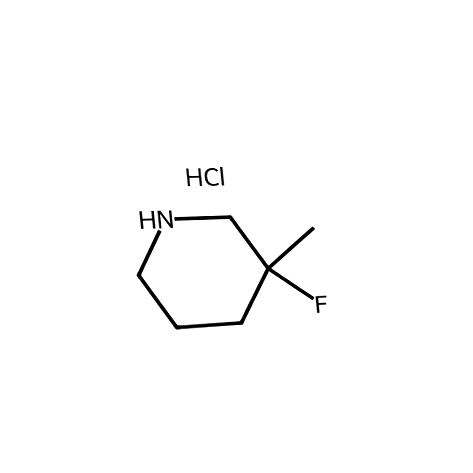 CC1(F)CCCNC1.Cl